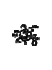 CSCC[C@H](NC(=O)[C@@H](NC(=O)OC(C)(C)C)C(C)C)C(=O)N[C@@H](CC(C)C)[C@@H](O)C[C@@H](C)C(=O)N[C@@H](CC(C)C)C(=O)NCCc1c[nH]c2ccccc12